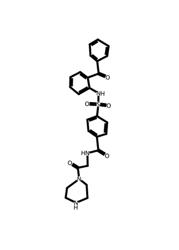 O=C(NCC(=O)N1CCNCC1)c1ccc(S(=O)(=O)Nc2ccccc2C(=O)c2ccccc2)cc1